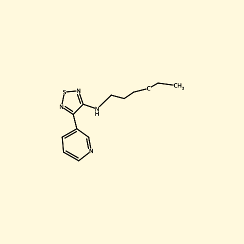 CCCCCCNc1nsnc1-c1cccnc1